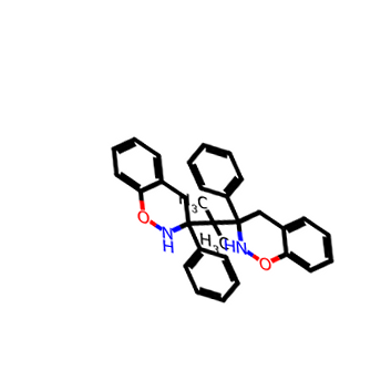 CC(C)(C1(c2ccccc2)Cc2ccccc2ON1)C1(c2ccccc2)Cc2ccccc2ON1